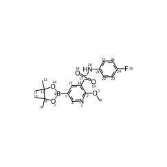 COc1ncc(B2OC(C)(C)C(C)(C)O2)cc1S(=O)(=O)Nc1ccc(F)cc1